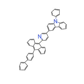 c1ccc(-c2ccc(-c3c4ccccc4c(-c4ccc(-c5ccc6c(c5)c5ccccc5n6-c5ccccc5)cn4)c4ccccc34)cc2)cc1